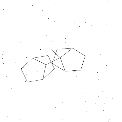 CC1(C2C3CCC2CC3)C2CCC1CC2